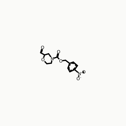 O=CC1CN(C(=O)OCc2ccc([N+](=O)[O-])cc2)CCO1